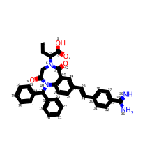 CCC(C(=O)O)N1CC(=O)N(C(c2ccccc2)c2ccccc2)c2ccc(C=Cc3ccc(C(=N)N)cc3)cc2C1=O